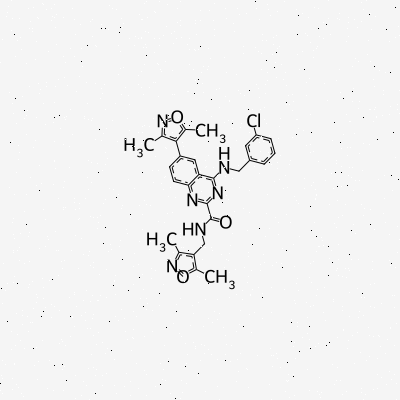 Cc1noc(C)c1CNC(=O)c1nc(NCc2cccc(Cl)c2)c2cc(-c3c(C)noc3C)ccc2n1